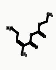 CCC=C(C)C(=O)OC(=O)OCC